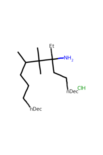 CCCCCCCCCCCCCC(C)C(C)(C)C(N)(CC)CCCCCCCCCCCC.Cl